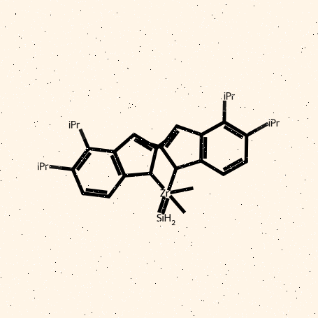 CC1=Cc2c(ccc(C(C)C)c2C(C)C)[CH]1[Zr]([CH3])([CH3])(=[SiH2])[CH]1C(C)=Cc2c1ccc(C(C)C)c2C(C)C